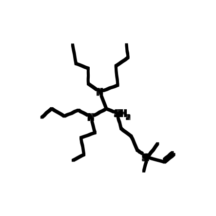 C=C[Si](C)(C)CCC[SiH2]C(N(CCCC)CCCC)N(CCCC)CCCC